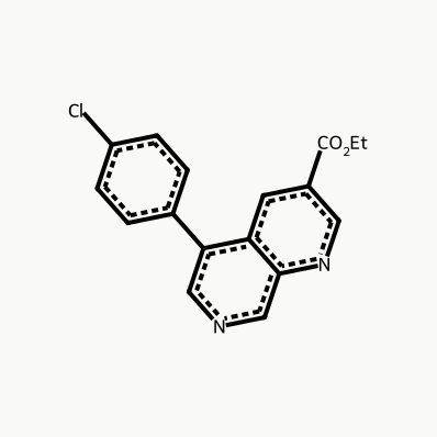 CCOC(=O)c1cnc2cncc(-c3ccc(Cl)cc3)c2c1